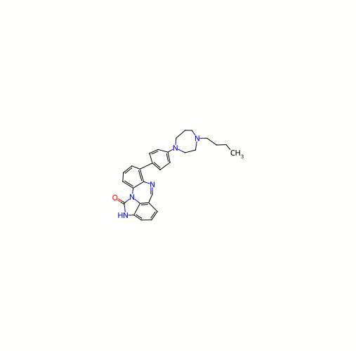 CCCCN1CCCN(c2ccc(-c3cccc4c3N=Cc3cccc5[nH]c(=O)n-4c35)cc2)CC1